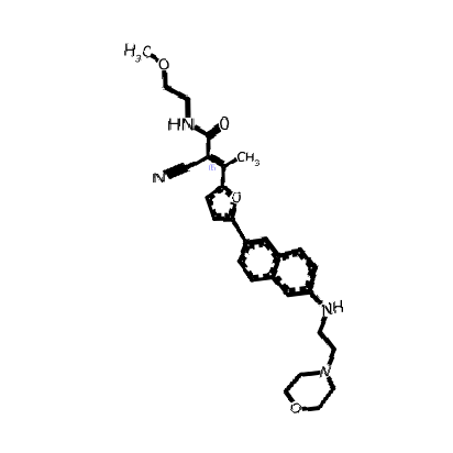 COCCNC(=O)/C(C#N)=C(\C)c1ccc(-c2ccc3cc(NCCN4CCOCC4)ccc3c2)o1